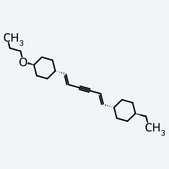 CCCO[C@H]1CC[C@H](C=CC#CC=C[C@H]2CC[C@H](CC)CC2)CC1